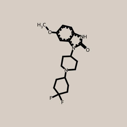 COc1ccc2[nH]c(=O)n(C3CCN(C4CCC(F)(F)CC4)CC3)c2c1